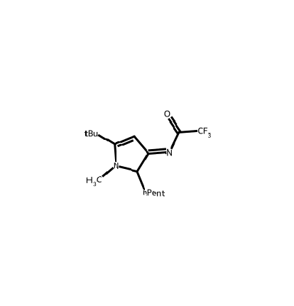 CCCCCC1C(=NC(=O)C(F)(F)F)C=C(C(C)(C)C)N1C